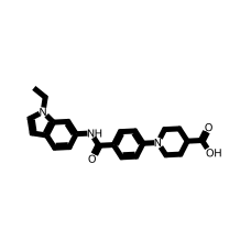 CCn1ccc2ccc(NC(=O)c3ccc(N4CCC(C(=O)O)CC4)cc3)cc21